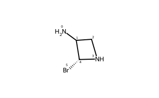 NC1CN[C@@H]1Br